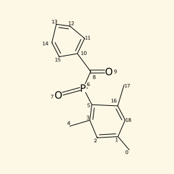 Cc1cc(C)c([P](=O)C(=O)c2ccccc2)c(C)c1